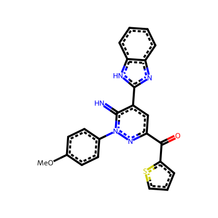 COc1ccc(-n2nc(C(=O)c3cccs3)cc(-c3nc4ccccc4[nH]3)c2=N)cc1